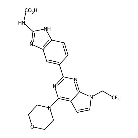 O=C(O)Nc1nc2cc(-c3nc(N4CCOCC4)c4ccn(CC(F)(F)F)c4n3)ccc2[nH]1